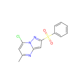 Cc1cc(Cl)n2nc(S(=O)(=O)c3ccccc3)cc2n1